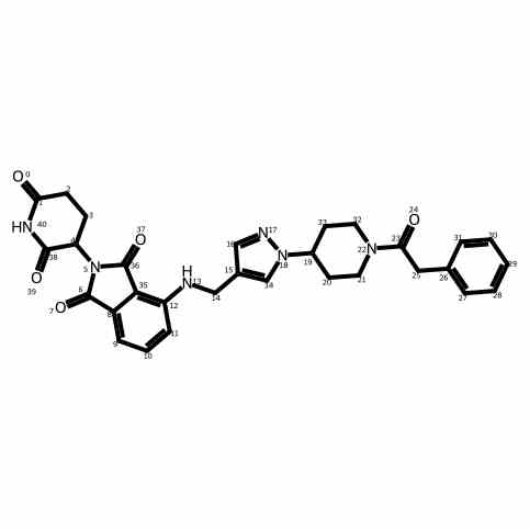 O=C1CCC(N2C(=O)c3cccc(NCc4cnn(C5CCN(C(=O)Cc6ccccc6)CC5)c4)c3C2=O)C(=O)N1